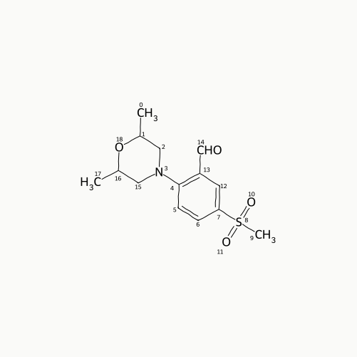 CC1CN(c2ccc(S(C)(=O)=O)cc2C=O)CC(C)O1